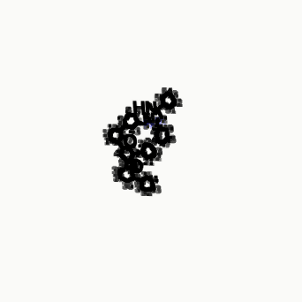 N=C(/C=C(\N=C\c1cccc(-c2cccc3c2oc2c(-c4ccccc4)c4oc5c(-c6ccccc6)cccc5c4cc23)c1)c1ccccc1)c1ccccc1